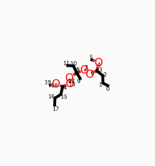 CCCC(OC)OOC(C)(CC)OOC(CCC)OC